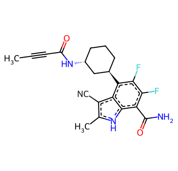 CC#CC(=O)N[C@@H]1CCC[C@@H](c2c(F)c(F)c(C(N)=O)c3[nH]c(C)c(C#N)c23)C1